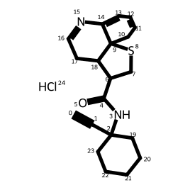 C#CC1(NC(=O)C2CSC34CC=CC=C3N=CCC24)CCCCC1.Cl